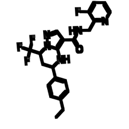 CCc1ccc(C2CC(C(F)(F)F)n3ncc(C(=O)NCc4ncccc4F)c3N2)cc1